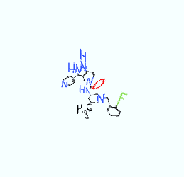 CC1CC(NC(=O)N2CCC3=C(C2)C(c2ccncc2)NN3)CN(Cc2ccccc2F)C1